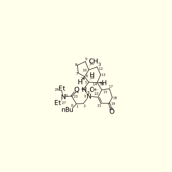 CCCCC(CN1C[C@H]2[C@@H]3CCC[C@@]3(C)CC[C@@H]2[C@@]2(C)CCC(=O)C=C12)C(=O)N(CC)CC